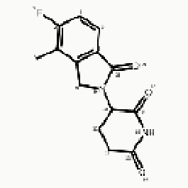 Cc1c(F)ccc2c1CN(C1CCC(=O)NC1=O)C2=O